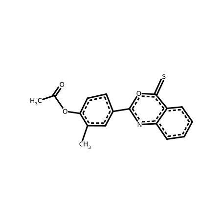 CC(=O)Oc1ccc(-c2nc3ccccc3c(=S)o2)cc1C